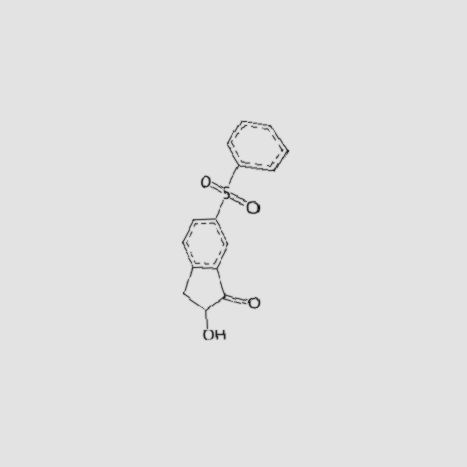 O=C1c2cc(S(=O)(=O)c3ccccc3)ccc2CC1O